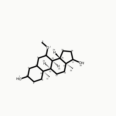 COC1CC2CC(O)CC[C@]2(C)[C@@H]2CC[C@]3(C)C(O)CC[C@H]3[C@H]12